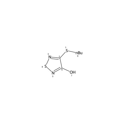 CCCCSc1nsnc1O